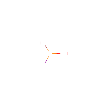 OP(Br)I